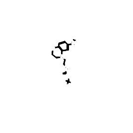 CC(C)(C)OC(=O)NCCN1CCSc2ccc([N+](=O)[O-])cc21